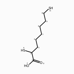 O=C(O)C(S)CCCCCCS